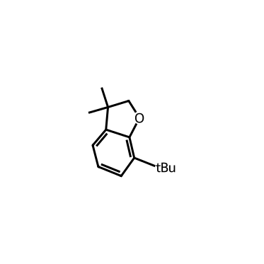 CC(C)(C)c1cccc2c1OCC2(C)C